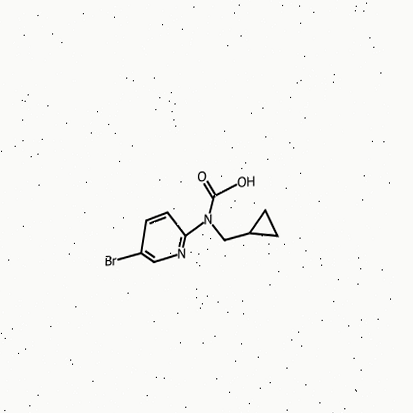 O=C(O)N(CC1CC1)c1ccc(Br)cn1